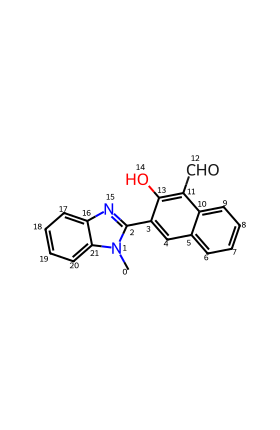 Cn1c(-c2cc3ccccc3c(C=O)c2O)nc2ccccc21